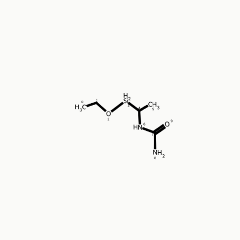 CCO[SiH2]C(C)NC(N)=O